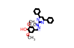 COc1cc(/C=N\N(C)c2nc(-c3ccccc3)cc(-c3ccccc3)n2)cc(OC)c1O